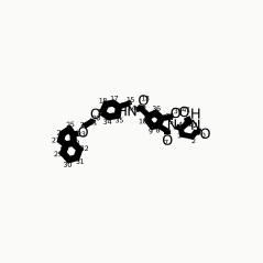 O=C1CCC(N2C(=O)c3ccc(C(=O)NCc4ccc(OCCOc5cccc6ccccc56)cc4)cc3C2=O)C(=O)N1